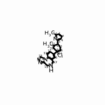 Cc1cccc(C2CCC(Cl)(c3ccc4c(c3)CNCc3nncn3-4)CC2C)n1